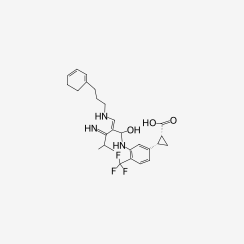 CC(C)C(=N)/C(=C\NCCCC1=CC=CCC1)C(O)Nc1cc([C@H]2C[C@H]2C(=O)O)ccc1C(F)(F)F